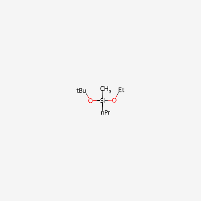 CCC[Si](C)(OCC)OC(C)(C)C